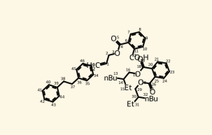 C=CCOC(=O)c1ccccc1C(=O)O.CCCCC(CC)COC(=O)c1ccccc1C(=O)OCC(CC)CCCC.c1ccc(CCc2ccccc2)cc1